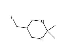 CC1(C)OCC(CF)CO1